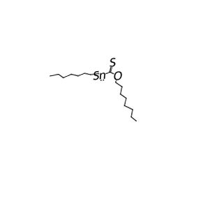 CCCCCCCCO[C](=S)[Sn][CH2]CCCCCCC